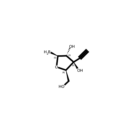 B[C@@H]1O[C@H](CO)[C@@](O)(C#C)[C@H]1O